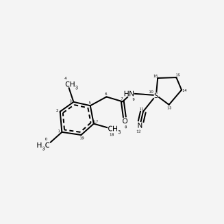 Cc1cc(C)c(CC(=O)NS2(C#N)CCCC2)c(C)c1